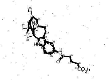 CC[C@H]1C[C@@H]2C[C@H]3c4[nH]c5ccc(OC(=O)CCCC(=O)O)cc5c4CCN(C2)[C@@H]13